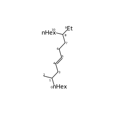 [CH2]CCCCCC(C)C/C=C/CCC(CC)CCCCC[CH2]